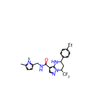 CCc1ccc(C2CC(C(F)(F)F)n3ncc(C(=O)NCc4ccc(C)n4C)c3N2)cc1